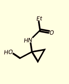 CCC(=O)NC1(CO)CC1